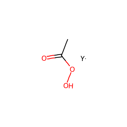 CC(=O)OO.[Y]